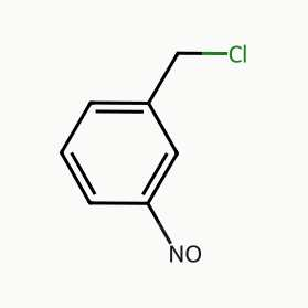 O=Nc1cccc(CCl)c1